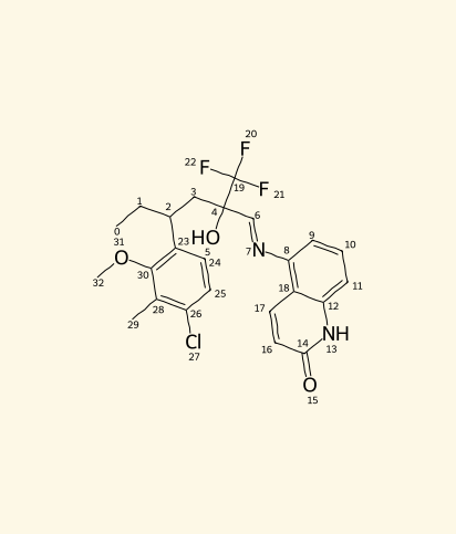 CCC(CC(O)(/C=N/c1cccc2[nH]c(=O)ccc12)C(F)(F)F)c1ccc(Cl)c(C)c1OC